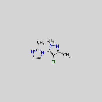 Cc1nn(C)c(-n2ccnc2C)c1Cl